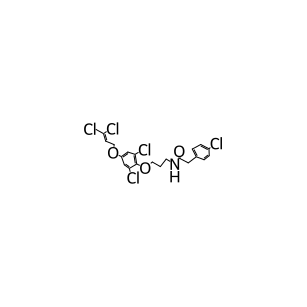 O=C(Cc1ccc(Cl)cc1)NCCCOc1c(Cl)cc(OCC=C(Cl)Cl)cc1Cl